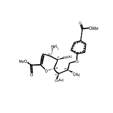 COC(=O)C1=C[C@H](N)[C@@H](NC(C)=O)[C@H]([C@H](OC(C)=O)[C@@H](COc2ccc(C(=O)OC)cc2)OC(C)=O)O1